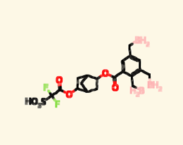 BCc1cc(CB)c(CB)c(C(=O)OC2CC3CC2CC3OC(=O)C(F)(F)S(=O)(=O)O)c1